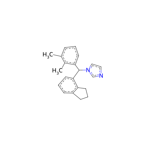 Cc1cccc(C(c2cccc3c2CCC3)n2ccnc2)c1C